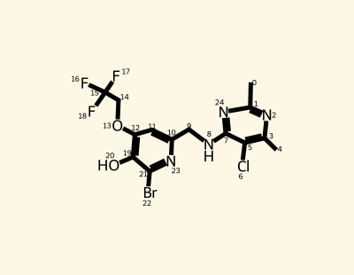 Cc1nc(C)c(Cl)c(NCc2cc(OCC(F)(F)F)c(O)c(Br)n2)n1